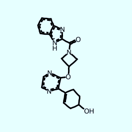 O=C(c1nc2ccccc2[nH]1)N1CC(Oc2nccnc2C2=CCC(O)CC2)C1